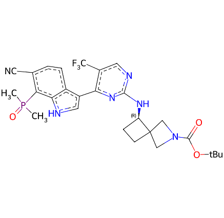 CC(C)(C)OC(=O)N1CC2(CC[C@H]2Nc2ncc(C(F)(F)F)c(-c3c[nH]c4c(P(C)(C)=O)c(C#N)ccc34)n2)C1